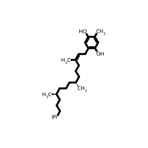 CC(=CCc1cc(O)c(C)cc1O)CCC[C@H](C)CCC[C@H](C)CCCC(C)C